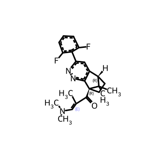 C/C(=C\N(C)C)C(=O)[C@@]12CC[C@@H](c3cc(-c4c(F)cccc4F)nnc31)C2(C)C